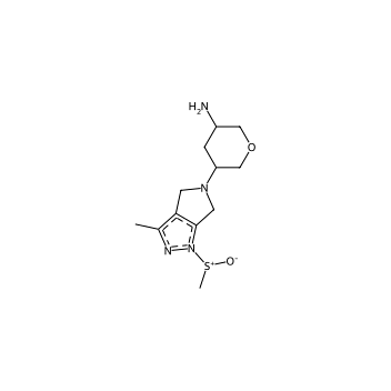 Cc1nn([S+](C)[O-])c2c1CN(C1COCC(N)C1)C2